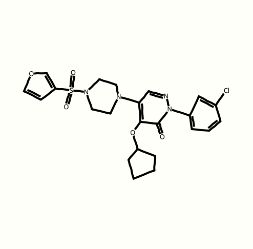 O=c1c(OC2CCCC2)c(N2CCN(S(=O)(=O)c3ccoc3)CC2)cnn1-c1cccc(Cl)c1